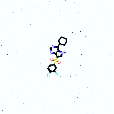 O=S(=O)(c1ccc(F)c(F)c1)c1c[nH]c2c(C3CCCCC3)ncnc12